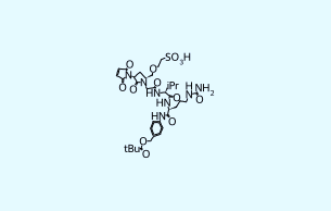 CC(C)[C@H](NC(=O)CN1C(=O)[C@@H](N2C(=O)C=CC2=O)C[C@H]1COCCS(=O)(=O)O)C(=O)N[C@@H](CCCNC(N)=O)C(=O)Nc1ccc(COC(=O)C(C)(C)C)cc1